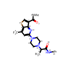 CNC(=O)c1csc2c(C(F)(F)F)cc(N3CCN(C(C)C(=O)NC(C)C)CC3)nc12